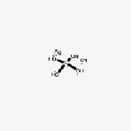 O[Si](O)(O)O.[Ag].[KH]